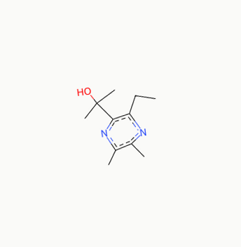 CCc1nc(C)c(C)nc1C(C)(C)O